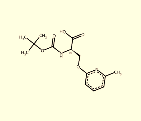 Cc1cccc(OC[C@@H](NC(=O)OC(C)(C)C)C(=O)O)n1